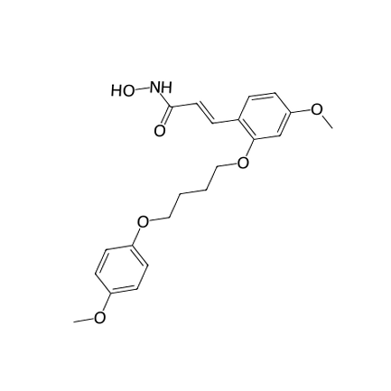 COc1ccc(OCCCCOc2cc(OC)ccc2/C=C/C(=O)NO)cc1